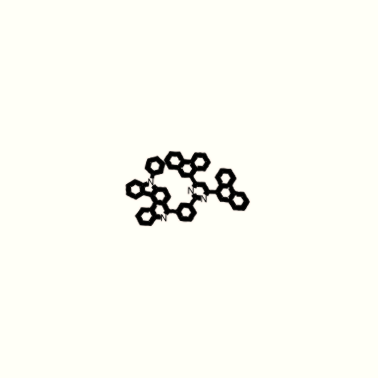 c1ccc(-n2c3ccccc3c3c4c(ccc32)c(-c2cccc(-c3nc(-c5cc6ccccc6c6ccccc56)cc(-c5cc6ccccc6c6ccccc56)n3)c2)nc2ccccc24)cc1